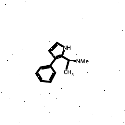 CN[C@@H](C)c1[nH]ccc1-c1ccccc1